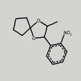 [CH2]C1OC2(CCCC2)OC1c1ccccc1[N+](=O)[O-]